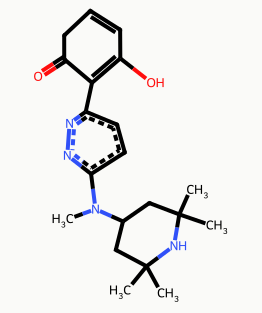 CN(c1ccc(C2=C(O)C=CCC2=O)nn1)C1CC(C)(C)NC(C)(C)C1